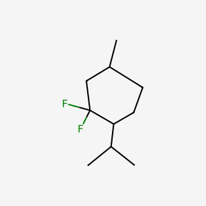 CC1CCC(C(C)C)C(F)(F)C1